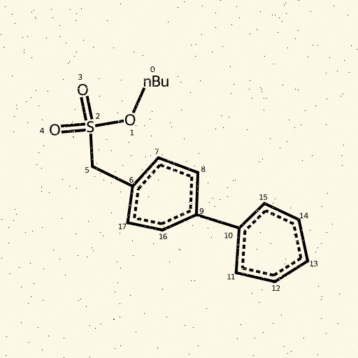 CCCCOS(=O)(=O)Cc1ccc(-c2ccccc2)cc1